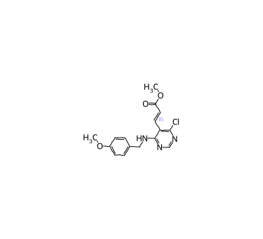 COC(=O)/C=C/c1c(Cl)ncnc1NCc1ccc(OC)cc1